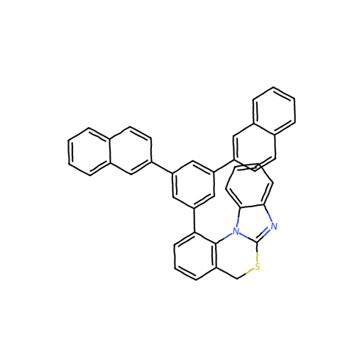 c1cc2c(c(-c3cc(-c4ccc5ccccc5c4)cc(-c4ccc5ccccc5c4)c3)c1)-n1c(nc3ccccc31)SC2